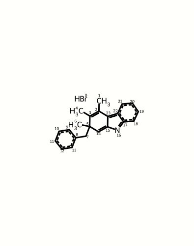 Br.CC1=C(C)C(C)(Cc2ccccc2)C=C2N=c3ccccc3=C21